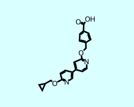 O=C(O)c1ccc(COc2cc(-c3ccc(OCC4CC4)nc3)ccn2)cc1